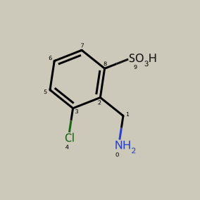 NCc1c(Cl)cccc1S(=O)(=O)O